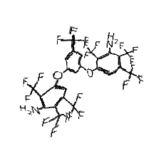 Nc1c(C(F)(F)F)c(Oc2cc(Oc3cc(C(F)(F)F)c(C(F)(F)F)c(N)c3C(F)(F)F)cc(C(F)(F)F)c2)cc(C(F)(F)F)c1C(F)(F)F